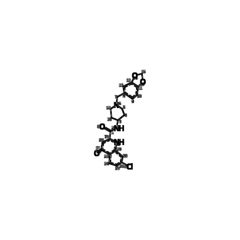 O=C(NC1CCN(Cc2ccc3c(c2)OCO3)CC1)c1cc(=O)c2ccc(Cl)cc2[nH]1